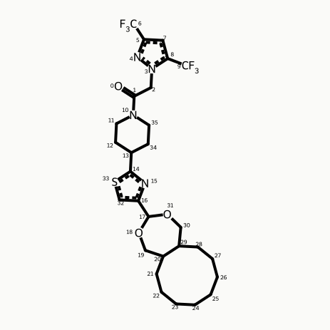 O=C(Cn1nc(C(F)(F)F)cc1C(F)(F)F)N1CCC(c2nc(C3OCC4CCCCCCCCC4CO3)cs2)CC1